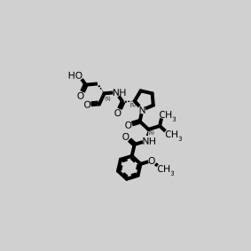 COc1ccccc1C(=O)N[C@H](C(=O)N1CCC[C@H]1C(=O)N[C@H](C=O)CC(=O)O)C(C)C